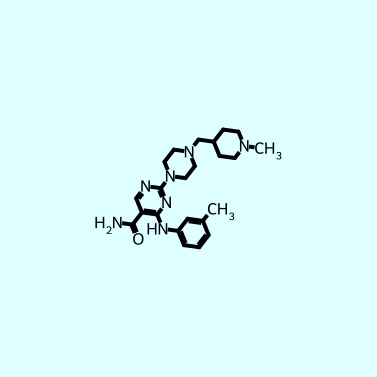 Cc1cccc(Nc2nc(N3CCN(CC4CCN(C)CC4)CC3)ncc2C(N)=O)c1